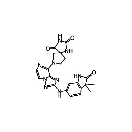 CC1(C)C(=O)Nc2cc(Nc3nc4c(N5CCC6(C5)NC(=O)NC6=O)nccn4n3)ccc21